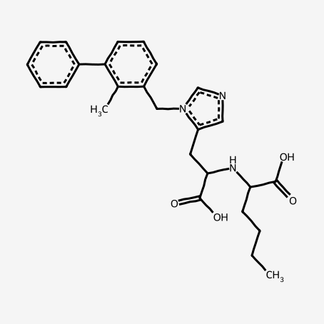 CCCCC(NC(Cc1cncn1Cc1cccc(-c2ccccc2)c1C)C(=O)O)C(=O)O